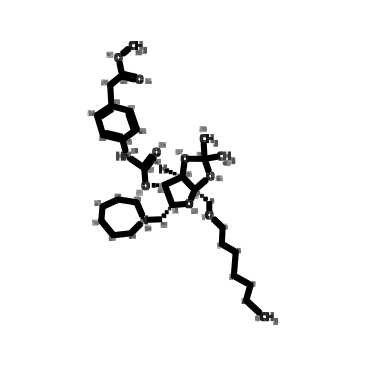 CCCCCCCOC[C@]12O[C@H](CN3CCCCCC3)[C@H](OC(=O)Nc3ccc(CC(=O)OC)cc3)[C@H]1OC(C)(C)O2